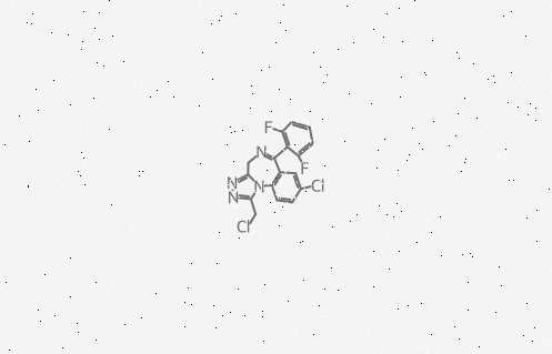 Fc1cccc(F)c1C1=NCc2nnc(CCl)n2-c2ccc(Cl)cc21